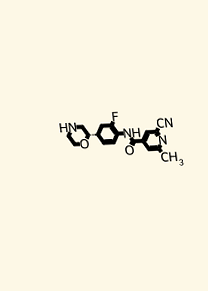 Cc1cc(C(=O)NC2=C(F)CC([C@H]3CNCCO3)C=C2)cc(C#N)n1